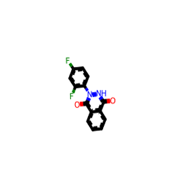 O=c1[nH]n(-c2ccc(F)cc2F)c(=O)c2ccccc12